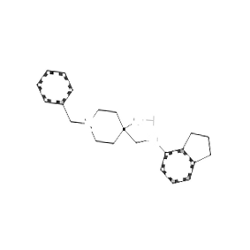 OC1(COc2cccc3c2CCC3)CCN(Cc2ccccc2)CC1